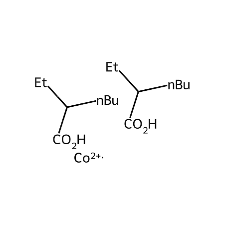 CCCCC(CC)C(=O)O.CCCCC(CC)C(=O)O.[Co+2]